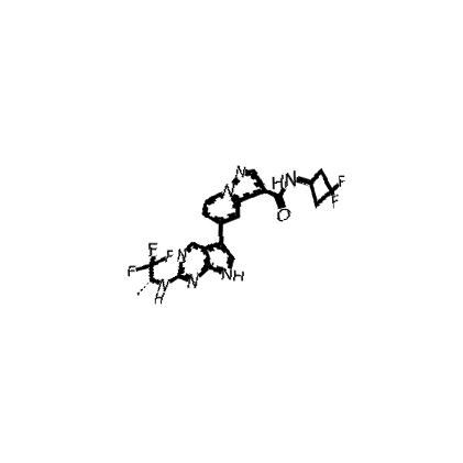 C[C@@H](Nc1ncc2c(-c3ccn4ncc(C(=O)NC5CC(F)(F)C5)c4c3)c[nH]c2n1)C(F)(F)F